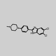 CN1CCN(c2ccc(-c3nc4cc(Cl)c(Cl)cc4[nH]3)cc2)CC1